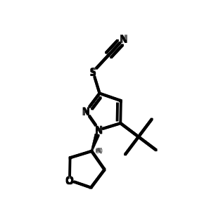 CC(C)(C)c1cc(SC#N)nn1[C@H]1CCOC1